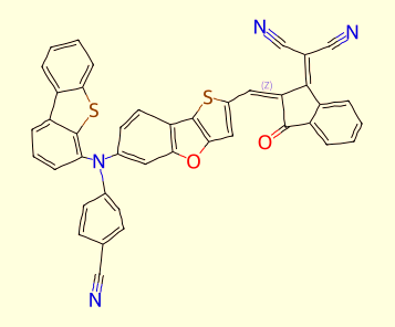 N#CC(C#N)=C1/C(=C/c2cc3oc4cc(N(c5ccc(C#N)cc5)c5cccc6c5sc5ccccc56)ccc4c3s2)C(=O)c2ccccc21